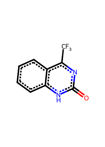 O=c1nc(C(F)(F)F)c2ccccc2[nH]1